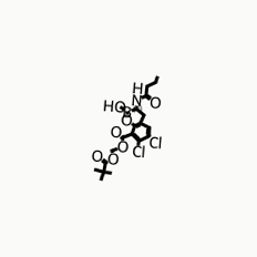 CCCC(=O)N[C@H]1Cc2cc(Cl)c(Cl)c(C(=O)OCOC(=O)C(C)(C)C)c2OB1O